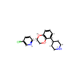 Clc1ccc([C@H]2COc3c(cccc3C3CCNCC3)O2)nc1